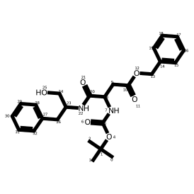 CC(C)(C)OC(=O)NC(CC(=O)OCc1ccccc1)C(=O)NC(CO)Cc1ccccc1